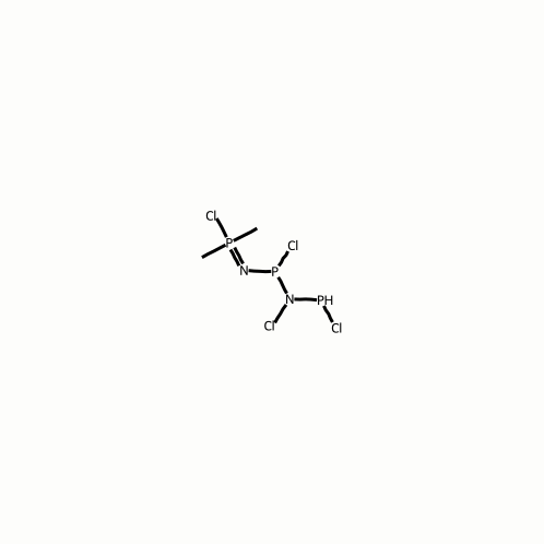 CP(C)(Cl)=NP(Cl)N(Cl)PCl